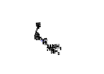 Nc1cc(N)cc(C(=O)OCCCCOC(=O)/C=C/c2ccc(OC(F)(F)c3ccc(CCCCCC(F)(F)F)cc3)cc2)c1